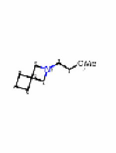 COCCN1CC2(CCC2)C1